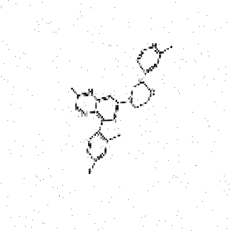 Cc1cc([C@H]2CN(c3cc4nc(C)cnc4c(-c4ccc(F)cc4F)n3)CCO2)ccn1